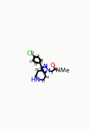 CNC(=O)Cn1nc(-c2ccc(Cl)cc2)c2c1CCNCC2